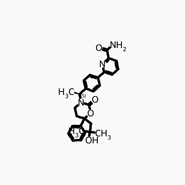 C[C@@H](c1ccc(-c2cccc(C(N)=O)n2)cc1)N1CCC(CC(C)(C)O)(c2ccccc2)OC1=O